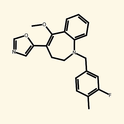 COC1=C(c2cnco2)CCN(Cc2ccc(C)c(F)c2)c2ccccc21